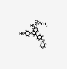 CCC[C@@H](C)Nc1ncc2c(-c3ccc(CN4CCOCC4)cc3)cn([C@H]3CC[C@H](O)CC3)c2n1